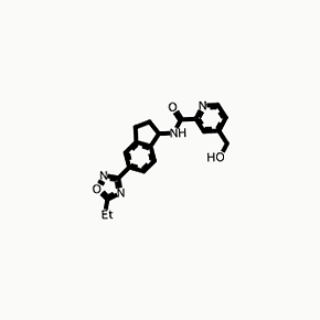 CCc1nc(-c2ccc3c(c2)CCC3NC(=O)c2cc(CO)ccn2)no1